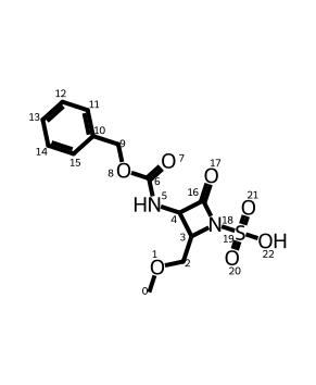 COCC1C(NC(=O)OCc2ccccc2)C(=O)N1S(=O)(=O)O